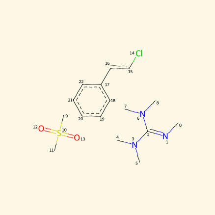 CN=C(N(C)C)N(C)C.CS(C)(=O)=O.ClC=Cc1ccccc1